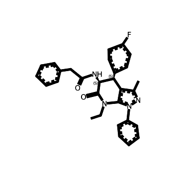 CCN1C(=O)[C@@H](NC(=O)Cc2ccccc2)[C@@H](c2ccc(F)cc2)c2c(C)nn(-c3ccccc3)c21